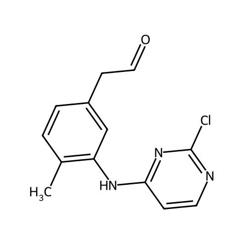 Cc1ccc(CC=O)cc1Nc1ccnc(Cl)n1